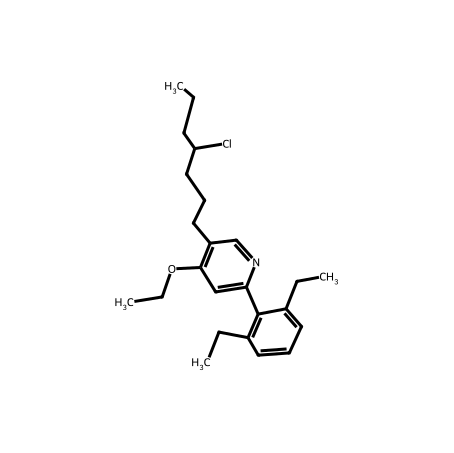 CCCC(Cl)CCCc1cnc(-c2c(CC)cccc2CC)cc1OCC